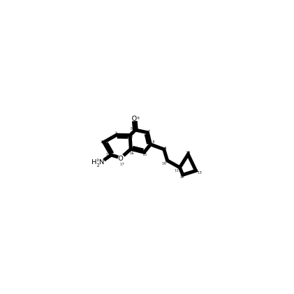 Nc1ccc2c(=O)cc(CCC3CCC3)cc-2o1